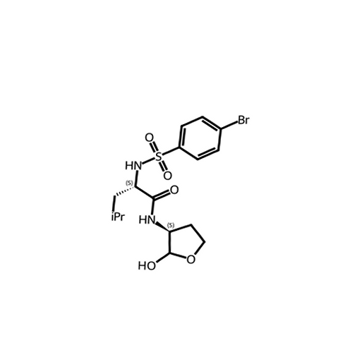 CC(C)C[C@H](NS(=O)(=O)c1ccc(Br)cc1)C(=O)N[C@H]1CCOC1O